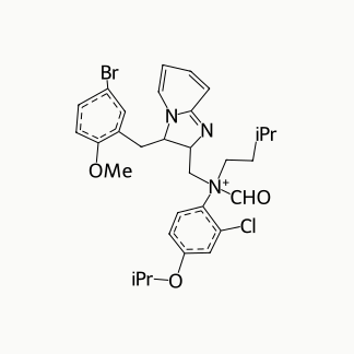 COc1ccc(Br)cc1CC1C(C[N+](C=O)(CCC(C)C)c2ccc(OC(C)C)cc2Cl)N=C2C=CC=CN21